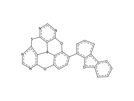 c1ccc2c(c1)oc1c(-c3ccc4c5c3Oc3ncnc6c3B5c3c(ncnc3S6)O4)cccc12